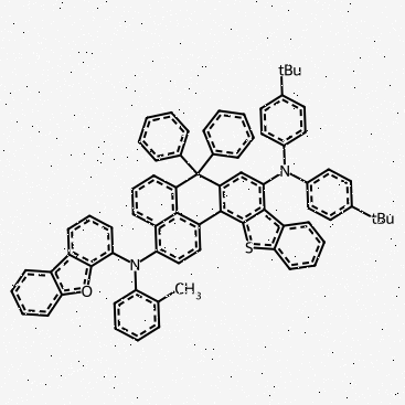 Cc1ccccc1N(c1ccc2c3c(cccc13)C(c1ccccc1)(c1ccccc1)c1cc(N(c3ccc(C(C)(C)C)cc3)c3ccc(C(C)(C)C)cc3)c3c(sc4ccccc43)c1-2)c1cccc2c1oc1ccccc12